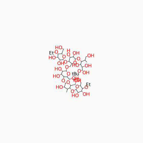 CCOC1C(CO)OC(OC2C(CO)OC(OC3C(CO)OC(OCC4OC(OC(C(C)CO)C(O)C(O)C(O)OC(C)(C)C)C(O)C(O)C4OC4OC(CO)C(OCC)C(O)C4O)C(O)C3O)C(O)C2C)C(O)C1O